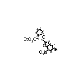 CCOC(=O)Cc1ccccc1OCc1cc2cc(Br)cc([N+](=O)[O-])c2o1